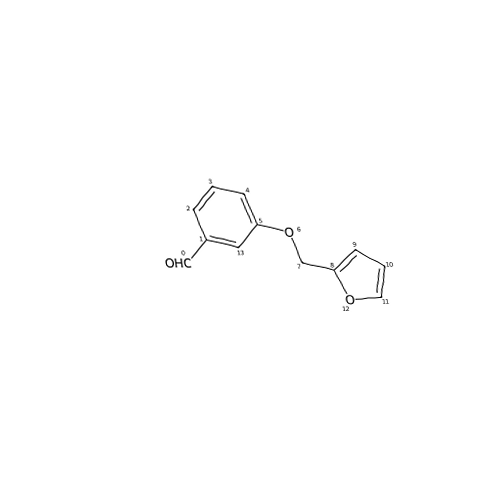 O=Cc1cccc(OCc2ccco2)c1